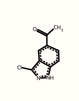 CC(=O)c1ccc2[nH]nc(Cl)c2c1